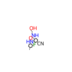 Cc1ccc(Nc2cc(C#N)ccc2C(=O)NCCCO)c(F)c1